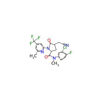 Cc1cc(C(F)(F)F)cc(N2C(=O)C(CC#N)CC2C(=O)N(C)c2ccc(F)c(Cl)c2)n1